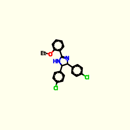 CCOc1ccccc1C1=NC(c2ccc(Cl)cc2)C(c2ccc(Cl)cc2)N1